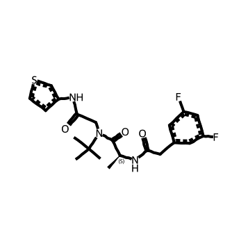 C[C@H](NC(=O)Cc1cc(F)cc(F)c1)C(=O)N(CC(=O)Nc1ccsc1)C(C)(C)C